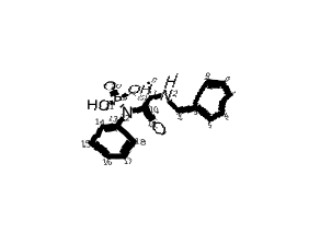 C[C@H](NCc1ccccc1)C(=O)N(c1ccccc1)P(=O)(O)O